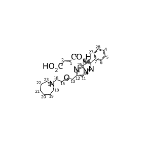 O=C(O)C=CC(=O)O.c1ccc(-c2nn3cc(COCCN4CCCCCC4)nc3s2)cc1